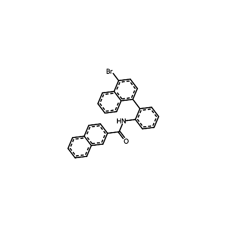 O=C(Nc1ccccc1-c1ccc(Br)c2ccccc12)c1ccc2ccccc2c1